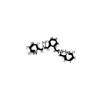 c1ccc(CNCc2ccccc2CNCc2ccccn2)nc1